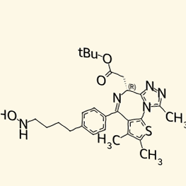 Cc1sc2c(c1C)C(c1ccc(CCCCNO)cc1)=N[C@H](CC(=O)OC(C)(C)C)c1nnc(C)n1-2